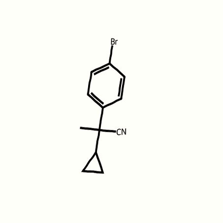 CC(C#N)(c1ccc(Br)cc1)C1CC1